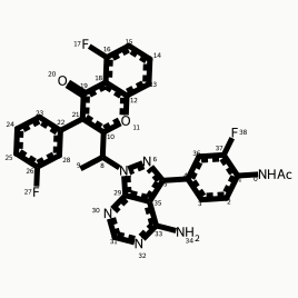 CC(=O)Nc1ccc(-c2nn(C(C)c3oc4cccc(F)c4c(=O)c3-c3cccc(F)c3)c3ncnc(N)c23)cc1F